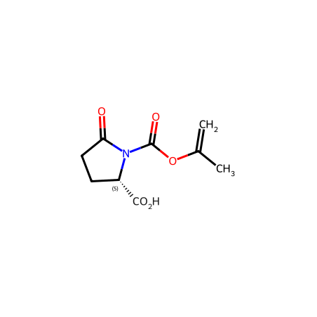 C=C(C)OC(=O)N1C(=O)CC[C@H]1C(=O)O